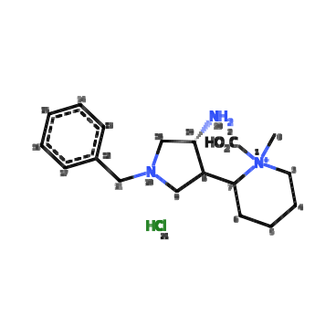 C[N+]1(C(=O)O)CCCCC1C1CN(Cc2ccccc2)C[C@@H]1N.Cl